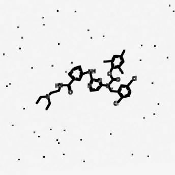 CCN(CC)CCNC(=O)c1cccc(Nc2nccc(N(Cc3cc(Cl)ccc3Cl)C(=O)Oc3c(C)cc(C)cc3C)n2)c1